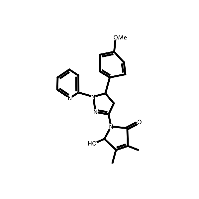 COc1ccc(C2CC(N3C(=O)C(C)=C(C)C3O)=NN2c2ccccn2)cc1